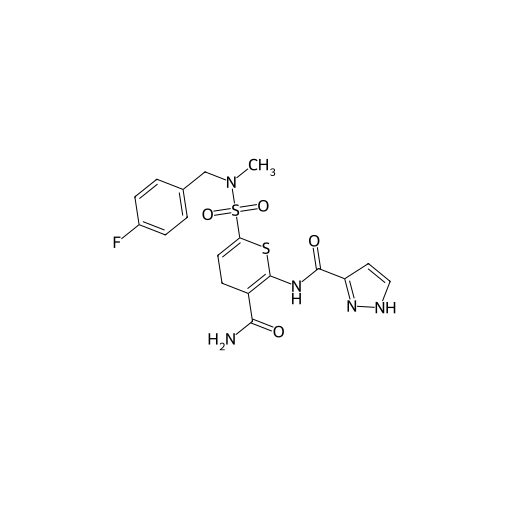 CN(Cc1ccc(F)cc1)S(=O)(=O)C1=CCC(C(N)=O)=C(NC(=O)c2cc[nH]n2)S1